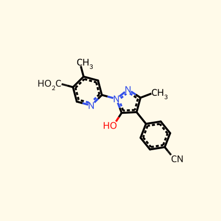 Cc1cc(-n2nc(C)c(-c3ccc(C#N)cc3)c2O)ncc1C(=O)O